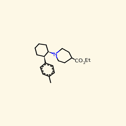 CCOC(=O)C1CCN([C@@H]2CCCC[C@@H]2c2ccc(C)cc2)CC1